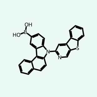 OB(O)c1ccc2c(c1)c1c3ccccc3ccc1n2-c1cc2c(cn1)sc1ccccc12